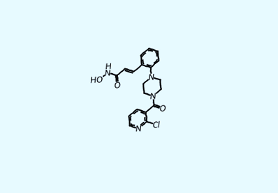 O=C(/C=C/c1ccccc1N1CCN(C(=O)c2cccnc2Cl)CC1)NO